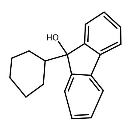 OC1(C2CCCCC2)c2ccccc2-c2ccccc21